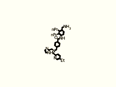 CCCc1c(CN)ccc(NC(=O)c2ccc(CN(Cc3ccc(CC)cn3)Cc3ncc[nH]3)cc2)c1CCC